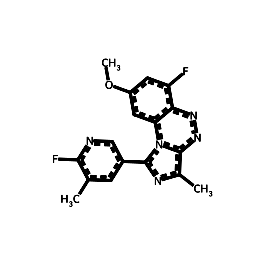 COc1cc(F)c2nnc3c(C)nc(-c4cnc(F)c(C)c4)n3c2c1